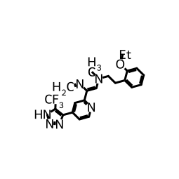 C=N/C(=C\N(C)CCc1ccccc1OCC)c1cc(-c2nn[nH]c2C(F)(F)F)ccn1